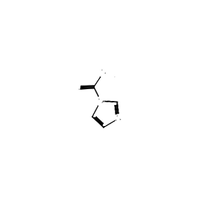 NC(=S)n1ccnc1